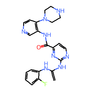 C=C(Nc1nccc(C(=O)Nc2cnccc2N2CCNCC2)n1)Nc1ccccc1F